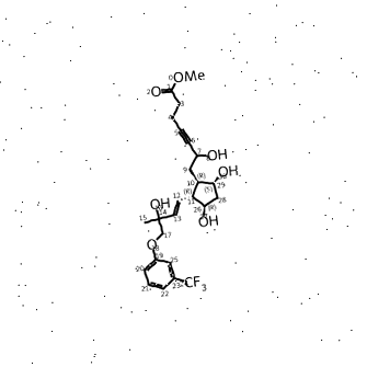 COC(=O)CCC#CC(O)C[C@@H]1[C@@H](C=CC(C)(O)COc2cccc(C(F)(F)F)c2)[C@H](O)C[C@@H]1O